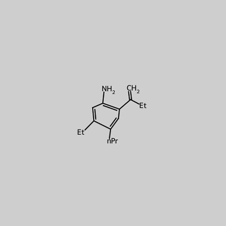 C=C(CC)c1cc(CCC)c(CC)cc1N